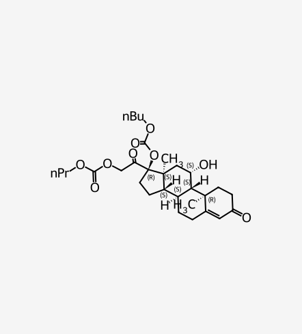 CCCCOC(=O)O[C@]1(C(=O)COC(=O)OCCC)CC[C@H]2[C@@H]3CCC4=CC(=O)CC[C@]4(C)[C@H]3[C@@H](O)C[C@@]21C